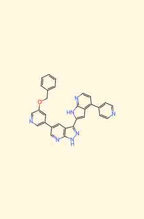 c1ccc(COc2cncc(-c3cnc4[nH]nc(-c5cc6c(-c7ccncc7)ccnc6[nH]5)c4c3)c2)cc1